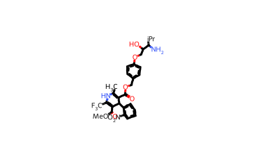 COC(=O)C1=C(C(F)(F)F)NC(C)=C(C(=O)OCc2ccc(OCC(O)C(N)C(C)C)cc2)C1c1ccccc1[N+](=O)[O-]